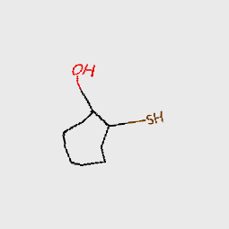 OC1CCCC1S